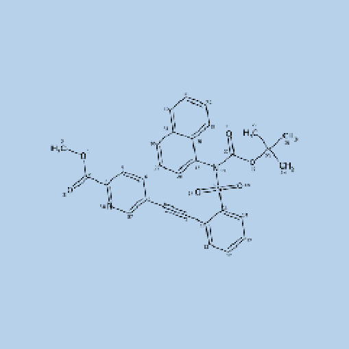 COC(=O)c1ccc(C#Cc2ccccc2S(=O)(=O)N(C(=O)OC(C)(C)C)c2cccc3ccccc23)cn1